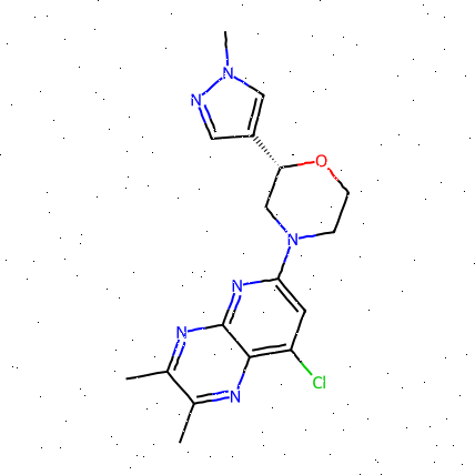 Cc1nc2nc(N3CCO[C@@H](c4cnn(C)c4)C3)cc(Cl)c2nc1C